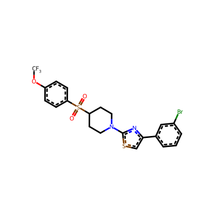 O=S(=O)(c1ccc(OC(F)(F)F)cc1)C1CCN(c2nc(-c3cccc(Br)c3)cs2)CC1